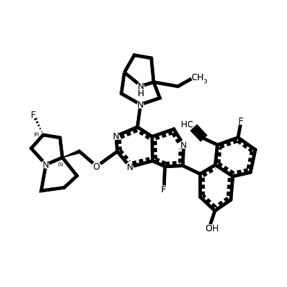 C#Cc1c(F)ccc2cc(O)cc(-c3ncc4c(N5CC6CCC(CC)(C5)N6)nc(OC[C@@]56CCCN5C[C@H](F)C6)nc4c3F)c12